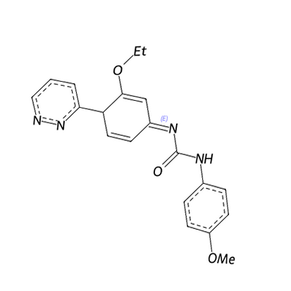 CCOC1=C/C(=N/C(=O)Nc2ccc(OC)cc2)C=CC1c1cccnn1